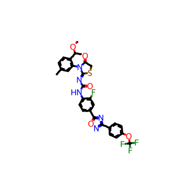 COC(C)c1ccc(C)cc1N1C(=O)CSC1=NC(=O)Nc1ccc(-c2nc(-c3ccc(OC(F)(F)F)cc3)no2)cc1F